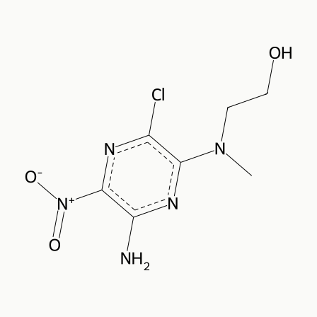 CN(CCO)c1nc(N)c([N+](=O)[O-])nc1Cl